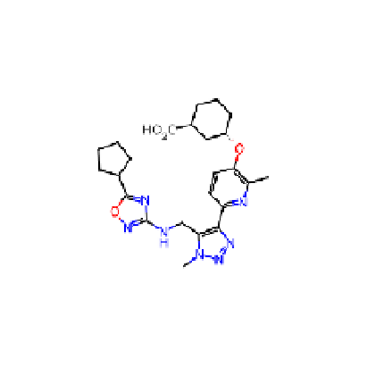 Cc1nc(-c2nnn(C)c2CNc2noc(C3CCCC3)n2)ccc1O[C@H]1CCC[C@H](C(=O)O)C1